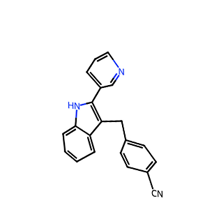 N#Cc1ccc(Cc2c(-c3cccnc3)[nH]c3ccccc23)cc1